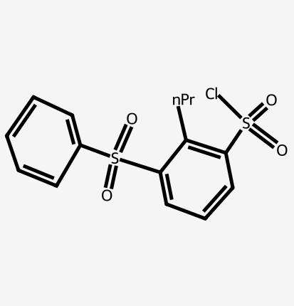 CCCc1c(S(=O)(=O)Cl)cccc1S(=O)(=O)c1ccccc1